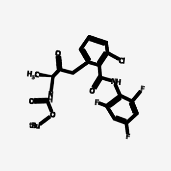 C[C@H](NC(=O)OC(C)(C)C)C(=O)Cc1cccc(Cl)c1C(=O)Nc1c(F)cc(F)cc1F